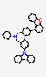 c1ccc(N2Cc3cc(-n4c5ccccc5c5ccccc54)ccc3-c3cc(-c4cccc5oc6ccccc6c45)ccc3C2)cc1